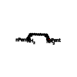 CCCCCc1cc(Cc2ccc(CCCCCCCCCCCCCc3ccc(Cc4ccc(N)c(CCCCC)c4)cc3)cc2)ccc1N